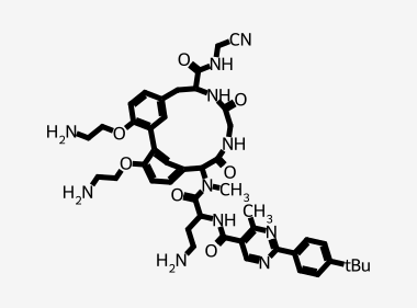 Cc1nc(-c2ccc(C(C)(C)C)cc2)ncc1C(=O)NC(CCN)C(=O)N(C)C1C(=O)NCC(=O)NC(C(=O)NCC#N)Cc2ccc(OCCN)c(c2)-c2cc1ccc2OCCN